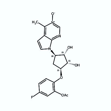 CC(=O)Oc1cc(F)ccc1O[C@H]1C[C@@H](n2ccc3c(C)[n+]([O-])cnc32)[C@H](O)[C@@H]1O